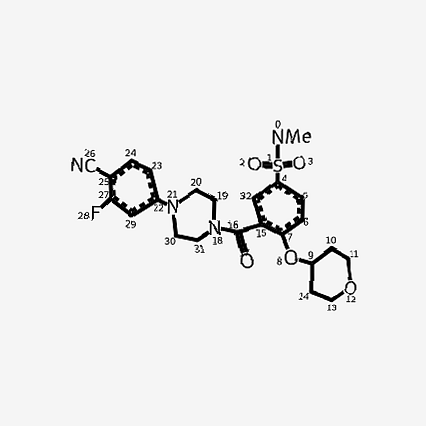 CNS(=O)(=O)c1ccc(OC2CCOCC2)c(C(=O)N2CCN(c3ccc(C#N)c(F)c3)CC2)c1